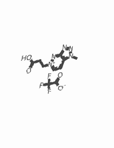 Cn1nnc2n[n+](CCC(=O)O)ccc21.O=C([O-])C(F)(F)F